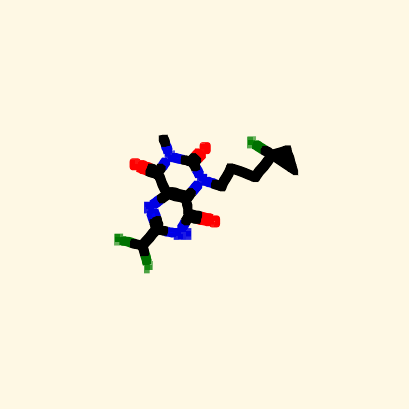 Cn1c(=O)c2nc(C(F)F)[nH]c(=O)c2n(CCCC2(F)CC2)c1=O